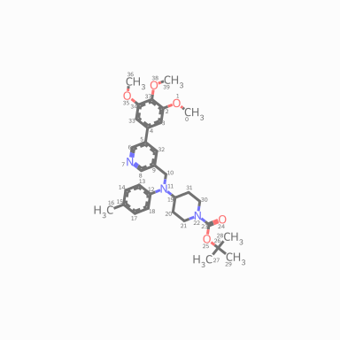 COc1cc(-c2cncc(CN(c3ccc(C)cc3)C3CCN(C(=O)OC(C)(C)C)CC3)c2)cc(OC)c1OC